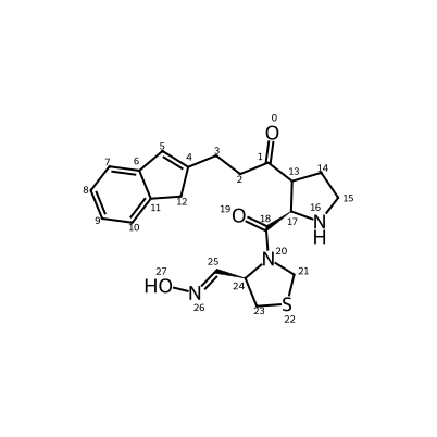 O=C(CCC1=Cc2ccccc2C1)C1CCN[C@H]1C(=O)N1CSC[C@H]1C=NO